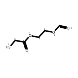 O=COCCOC(=O)CS